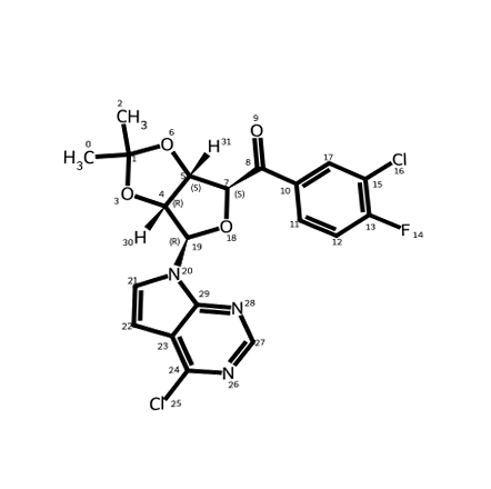 CC1(C)O[C@@H]2[C@H](O1)[C@@H](C(=O)c1ccc(F)c(Cl)c1)O[C@H]2n1ccc2c(Cl)ncnc21